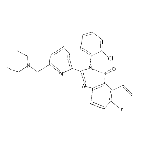 C=Cc1c(F)ccc2nc(-c3cccc(CN(CC)CC)n3)n(-c3ccccc3Cl)c(=O)c12